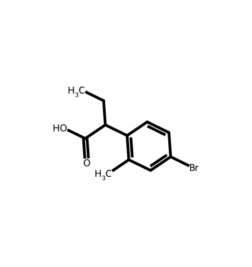 CCC(C(=O)O)c1ccc(Br)cc1C